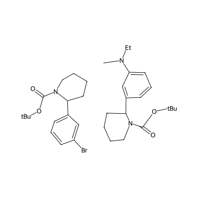 CC(C)(C)OC(=O)N1CCCCC1c1cccc(Br)c1.CCN(C)c1cccc(C2CCCCN2C(=O)OC(C)(C)C)c1